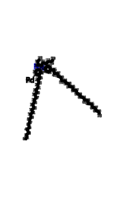 CCCCCCCCCCCCCCCCCCCCCCCCC=Cc1ccc(N=C(CC)C(CCCCC)=Nc2ccc(C=CCCCCCCCCCCCCCCCCCCCCCCCC)cc2)cc1.[Pd]